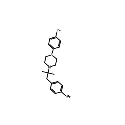 CC(C)c1ccc(CC(C)(C)N2CCN(c3ccc(C(C)C)cc3)CC2)cc1